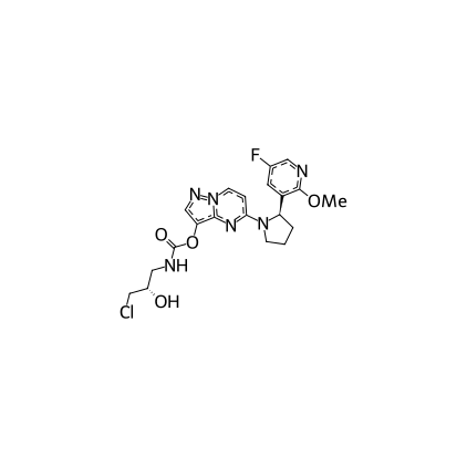 COc1ncc(F)cc1[C@H]1CCCN1c1ccn2ncc(OC(=O)NC[C@H](O)CCl)c2n1